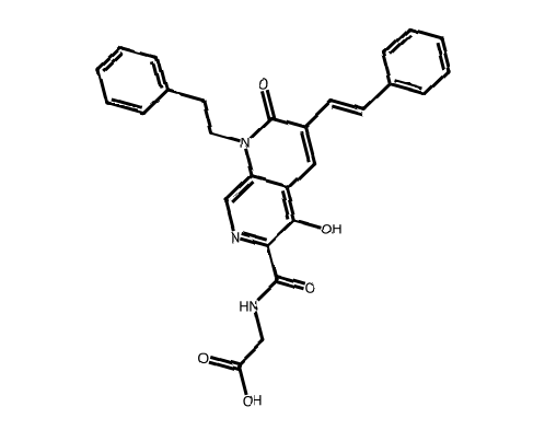 O=C(O)CNC(=O)c1ncc2c(cc(C=Cc3ccccc3)c(=O)n2CCc2ccccc2)c1O